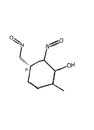 CC1CC[C@H](CN=O)C(N=O)C1O